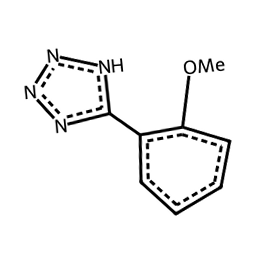 COc1ccccc1-c1nnn[nH]1